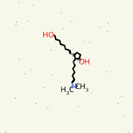 CN(C)C=CCCCCCC1[C@H](O)CC[C@H]1C=CCCCCCCO